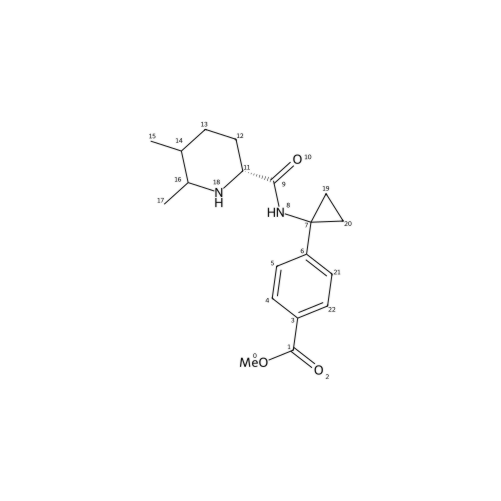 COC(=O)c1ccc(C2(NC(=O)[C@H]3CCC(C)C(C)N3)CC2)cc1